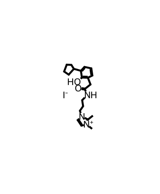 Cc1n(CCCNC(=O)Cc2cccc(C3CCCC3)c2O)cc[n+]1C.[I-]